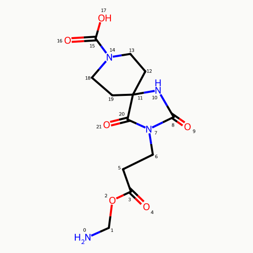 NCOC(=O)CCN1C(=O)NC2(CCN(C(=O)O)CC2)C1=O